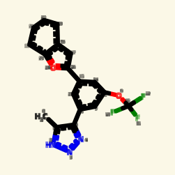 Cc1[nH]nnc1-c1cc(OC(F)(F)F)cc(-c2cc3ccccc3o2)c1